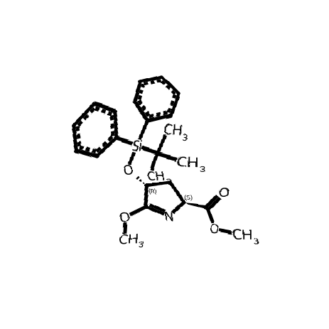 COC(=O)[C@@H]1C[C@@H](O[Si](c2ccccc2)(c2ccccc2)C(C)(C)C)C(OC)=N1